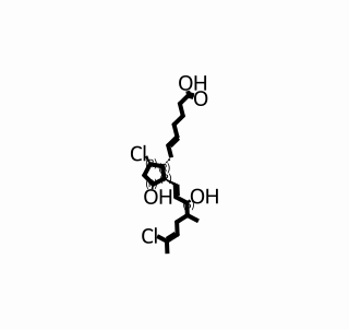 CC(Cl)=CCC(C)[C@H](O)C=C[C@@H]1[C@@H](CC=CCCCC(=O)O)[C@H](Cl)C[C@H]1O